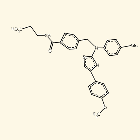 CC(C)(C)c1ccc(N(Cc2ccc(C(=O)NCCC(=O)O)cc2)c2nc(-c3ccc(OC(F)(F)F)cc3)cs2)cc1